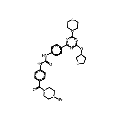 CC(C)N1CCN(C(=O)c2ccc(NC(=O)Nc3ccc(-c4nc(O[C@H]5CCOC5)nc(N5CCOCC5)n4)cc3)cc2)CC1